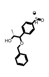 C[C@@H](O)C(OCc1ccccc1)c1ccc([SH](=O)=O)cc1